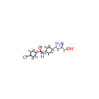 NC(CO)CCc1ccc(NC(=O)c2ccc(Cl)cc2)cc1